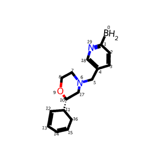 Bc1ccc(CN2CCO[C@@H](C3C=CC=CC3)C2)cn1